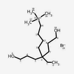 CCC(CCCO)(CCCO)CCCC[N+](C)(C)C.[Br-]